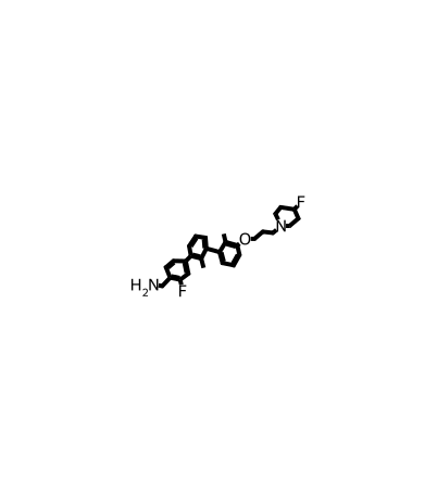 Cc1c(OCCCN2CCC(F)CC2)cccc1-c1cccc(-c2ccc(CN)c(F)c2)c1C